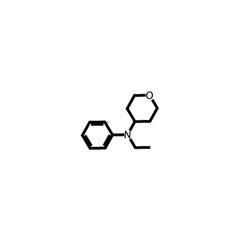 CCN(c1[c]cccc1)C1CCOCC1